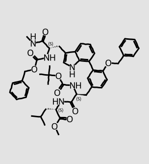 CNC(=O)[C@H](Cc1c[nH]c2c(-c3cc(C[C@H](NC(=O)OC(C)(C)C)C(=O)N[C@@H](CC(C)C)C(=O)OC)ccc3OCc3ccccc3)cccc12)NC(=O)OCc1ccccc1